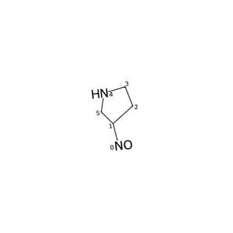 O=NC1CCNC1